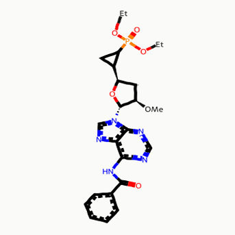 CCOP(=O)(OCC)C1CC1[C@H]1[CH][C@@H](OC)[C@H](n2cnc3c(NC(=O)c4ccccc4)ncnc32)O1